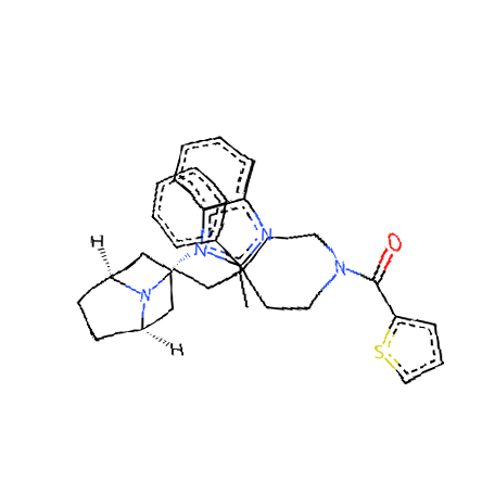 Cc1nc2ccccc2n1[C@@H]1C[C@H]2CC[C@@H](C1)N2CCC1(c2ccccc2)CCN(C(=O)c2cccs2)CC1